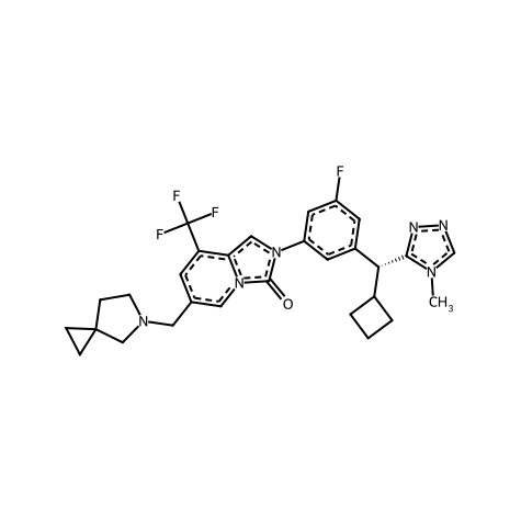 Cn1cnnc1[C@@H](c1cc(F)cc(-n2cc3c(C(F)(F)F)cc(CN4CCC5(CC5)C4)cn3c2=O)c1)C1CCC1